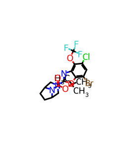 CC(C)(C)OC(=O)N1C2CCC1CN(c1nc3c(OC(F)(F)F)c(Cl)cc(Br)c3o1)C2